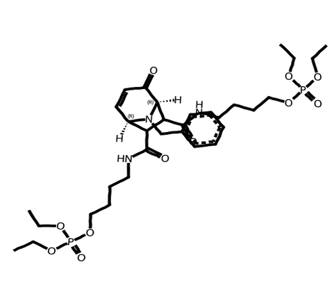 CCOP(=O)(OCC)OCCCCNC(=O)C1C(C(=O)NCCCCOP(=O)(OCC)OCC)[C@@H]2C(=O)C=C[C@H]1N2Cc1ccccc1